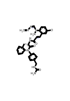 C=N/N=C\N(N)c1ccc(Cl)cc1/C=C/C(=O)N[C@@H](Cc1ccccc1)C(=O)Nc1ccc(CNC(N)=O)cc1